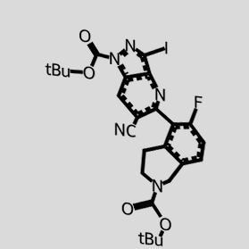 CC(C)(C)OC(=O)N1CCc2c(ccc(F)c2-c2nc3c(I)nn(C(=O)OC(C)(C)C)c3cc2C#N)C1